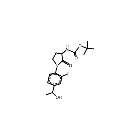 CC(O)c1ccc(N2CCC(NC(=O)OC(C)(C)C)C2=O)c(F)c1